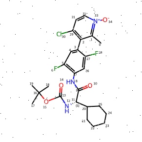 Cc1c(-c2cc(F)c(NC(=O)[C@@H](NC(=O)OC(C)(C)C)C3CCCCC3)cc2F)c(Cl)cc[n+]1[O-]